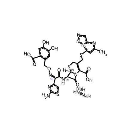 Cc1cc(SCC2=C(C(=O)O)N3C(=O)[C@@H](NC(=O)/C(=N\OCc4cc(O)c(O)cc4C(=O)O)c4csc(N)n4)[C@H]3SC2)n2nncc2n1.[NaH].[NaH].[NaH]